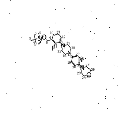 CC(C)(C)[Si](C)(C)OCc1cccc(N2CCN(c3ccc(N4CCOCC4)nc3)CC2)c1F